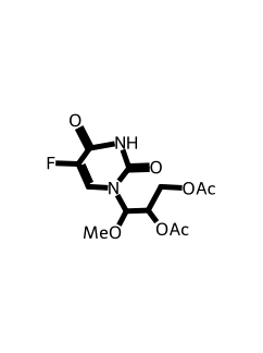 COC(C(COC(C)=O)OC(C)=O)n1cc(F)c(=O)[nH]c1=O